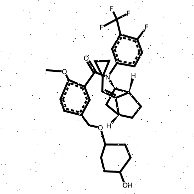 COc1ccc(COC2CCC(O)CC2)cc1C(=O)N(c1ccc(F)c(C(F)(F)F)c1)[C@@H]1C[C@H]2CC[C@@H]1/C2=C\C1CC1